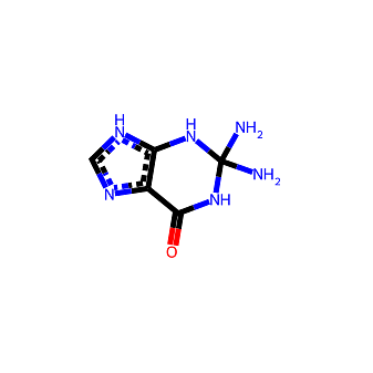 NC1(N)NC(=O)c2nc[nH]c2N1